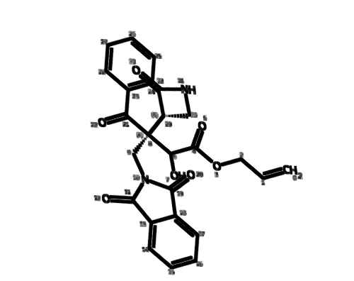 C=CCOC(=O)C(O)[C@@](CN1C(=O)c2ccccc2C1=O)(C(=O)c1ccccc1)[C@H]1CNC1=O